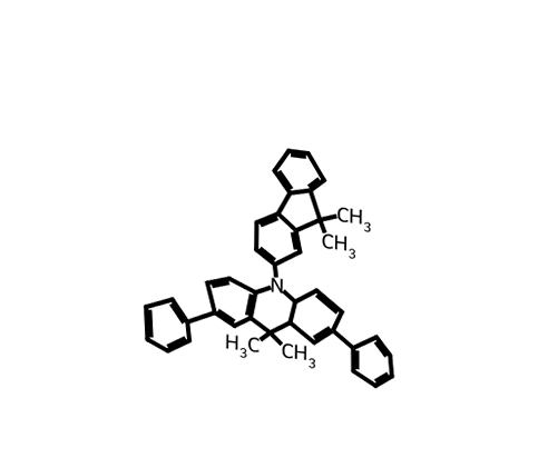 CC1(C)c2ccccc2-c2ccc(N3c4ccc(-c5ccccc5)cc4C(C)(C)C4C=C(c5ccccc5)C=CC43)cc21